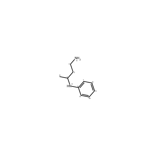 CC(CCN)Nc1ccccc1